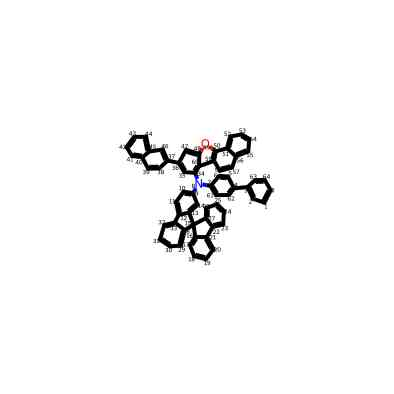 c1ccc(-c2ccc(N(c3ccc4c(c3)C3(c5ccccc5-c5ccccc53)c3ccccc3-4)c3cc(-c4ccc5ccccc5c4)cc4oc5c6ccccc6ccc5c34)cc2)cc1